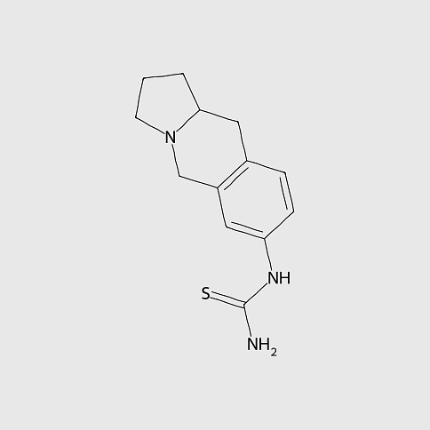 NC(=S)Nc1ccc2c(c1)CN1CCCC1C2